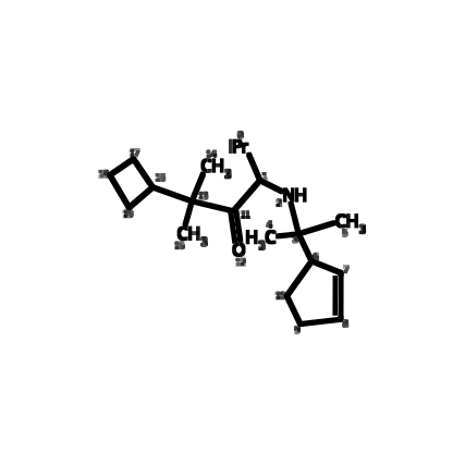 CC(C)C(NC(C)(C)C1C=CCC1)C(=O)C(C)(C)C1CCC1